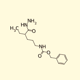 CCC(CCCNC(=O)OCc1ccccc1)C(=O)NN